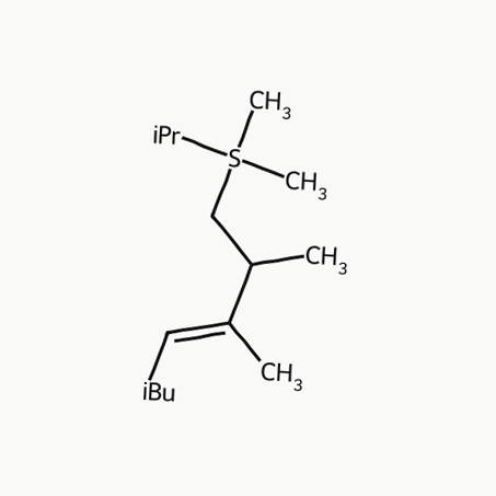 CCC(C)/C=C(\C)C(C)CS(C)(C)C(C)C